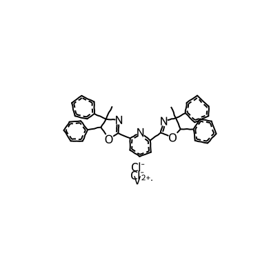 CC1(c2ccccc2)N=C(c2cccc(C3=NC(C)(c4ccccc4)C(c4ccccc4)O3)n2)OC1c1ccccc1.[Cl-].[Cl-].[V+2]